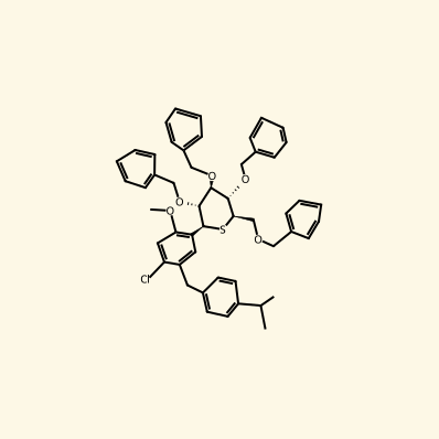 COc1cc(Cl)c(Cc2ccc(C(C)C)cc2)cc1[C@@H]1S[C@H](COCc2ccccc2)[C@@H](OCc2ccccc2)[C@H](OCc2ccccc2)[C@H]1OCc1ccccc1